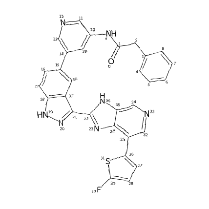 O=C(Cc1ccccc1)Nc1cncc(-c2ccc3[nH]nc(-c4nc5c(-c6ccc(F)s6)cncc5[nH]4)c3c2)c1